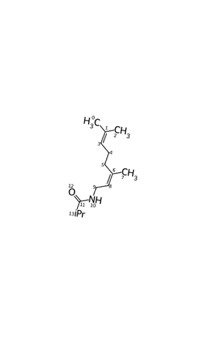 CC(C)=CCC/C(C)=C\CNC(=O)C(C)C